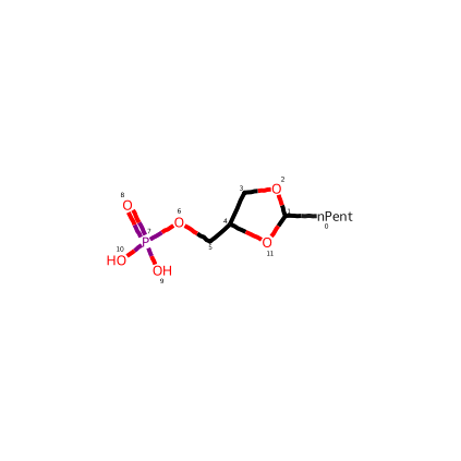 CCCCCC1OCC(COP(=O)(O)O)O1